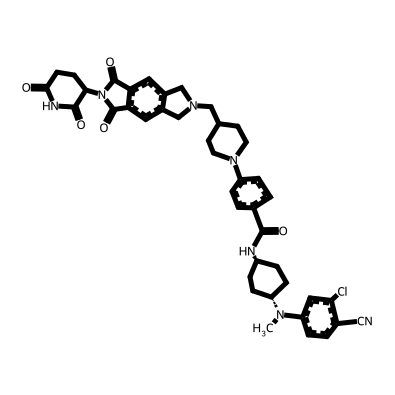 CN(c1ccc(C#N)c(Cl)c1)[C@H]1CC[C@H](NC(=O)c2ccc(N3CCC(CN4Cc5cc6c(cc5C4)C(=O)N(C4CCC(=O)NC4=O)C6=O)CC3)cc2)CC1